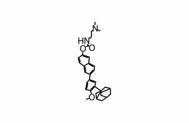 COc1ccc(-c2ccc3cc(OC(=O)NCCN(C)C)ccc3c2)cc1C12CC3CC(CC(C3)C1)C2